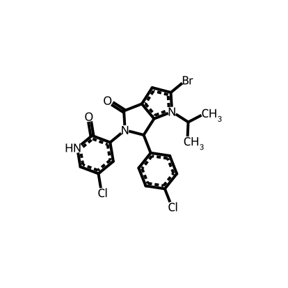 CC(C)n1c(Br)cc2c1C(c1ccc(Cl)cc1)N(c1cc(Cl)c[nH]c1=O)C2=O